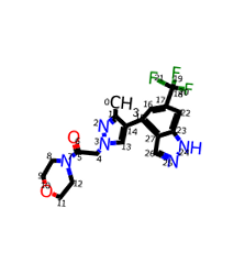 Cc1nn(CC(=O)N2CCOCC2)cc1-c1cc(C(F)(F)F)cc2[nH]ncc12